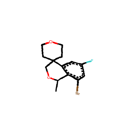 CC1OCC2(CCOCC2)c2cc(F)cc(Br)c21